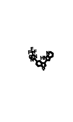 Cn1cc(-c2cc3cccnc3[nH]2)c2cc(-c3noc(C(F)(F)F)n3)ccc21